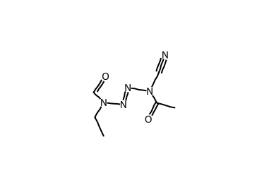 CCN(C=O)N=NN(C#N)C(C)=O